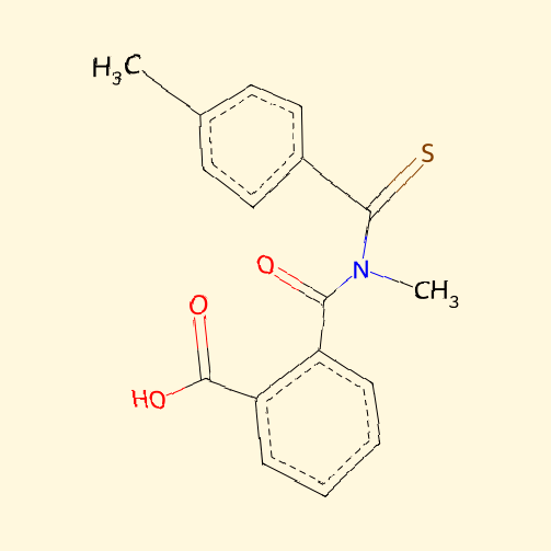 Cc1ccc(C(=S)N(C)C(=O)c2ccccc2C(=O)O)cc1